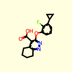 O=C(O)c1c(Oc2cccc(C3CC3)c2F)nnc2c1CCCC2